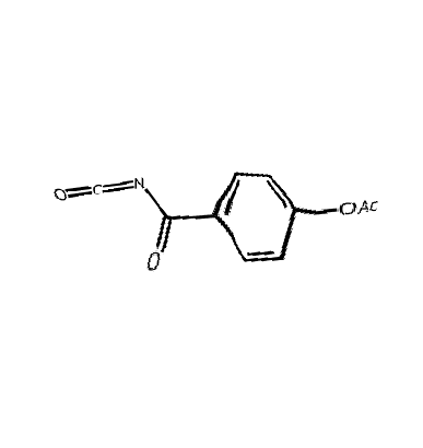 CC(=O)Oc1ccc(C(=O)N=C=O)cc1